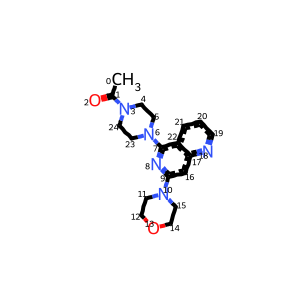 CC(=O)N1CCN(c2nc(N3CCOCC3)cc3ncccc23)CC1